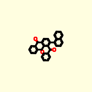 O=C1c2ccccc2C(=O)c2c1ccc(-c1cccc3ccccc13)c2C(=O)c1ccccc1